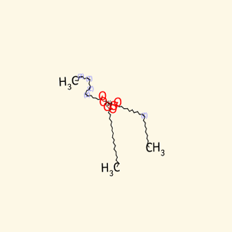 CC/C=C\C/C=C\C/C=C\C/C=C\CCCCC(=O)OC[C@H](COC(=O)CCCCCCCCC/C=C\CCCCCCCCCC)OC(=O)CCCCCCCCCCCCCCCCCCC